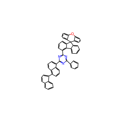 c1ccc(-c2nc(-c3cccc4c3-c3ccccc3C43c4ccccc4Oc4ccccc43)nc(-c3cccc4c(-c5cccc6ccccc56)cccc34)n2)cc1